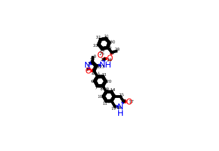 Cc1noc(-c2ccc(-c3ccc4c(c3)CC(=O)NC4)cc2)c1NC(=O)OC(C)c1ccccc1